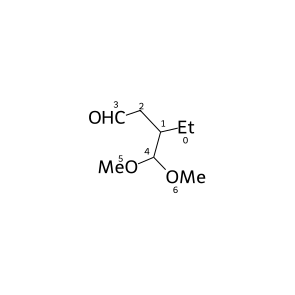 CCC(CC=O)C(OC)OC